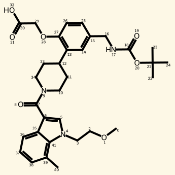 COCCn1cc(C(=O)N2CCC(c3cc(CNC(=O)OC(C)(C)C)ccc3OCC(=O)O)CC2)c2cccc(C)c21